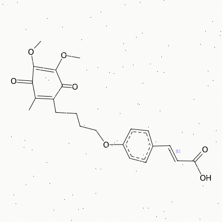 COC1=C(OC)C(=O)C(CCCCOc2ccc(/C=C/C(=O)O)cc2)=C(C)C1=O